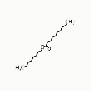 [CH2]CCCCCCCCC(=O)OCCCCCCCC